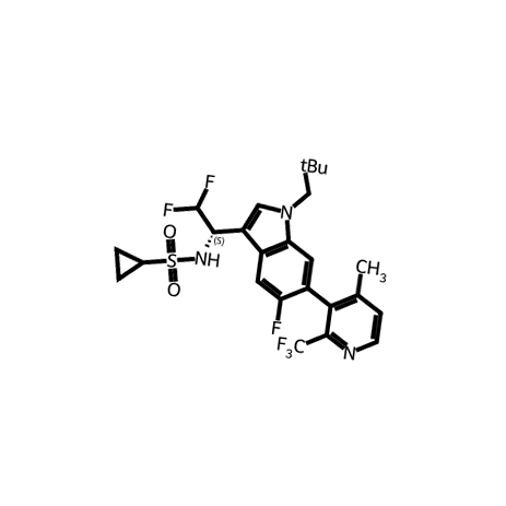 Cc1ccnc(C(F)(F)F)c1-c1cc2c(cc1F)c([C@H](NS(=O)(=O)C1CC1)C(F)F)cn2CC(C)(C)C